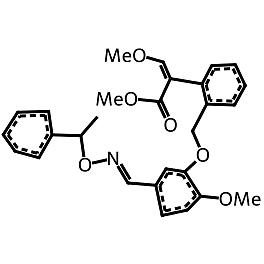 COC=C(C(=O)OC)c1ccccc1COc1cc(C=NOC(C)c2ccccc2)ccc1OC